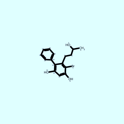 CC(O)CCc1c(Br)c(O)cc(O)c1-c1ccccc1